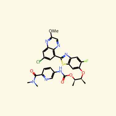 COc1cnc2c(-c3nc4cc(F)c(O[C@@H](C)[C@@H](C)OC(=O)Nc5ccc(C(=O)N(C)C)nc5)cc4s3)cc(Cl)cc2n1